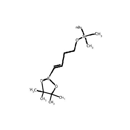 CCCC[Si](C)(C)OCC/C=C/B1OC(C)(C)C(C)(C)O1